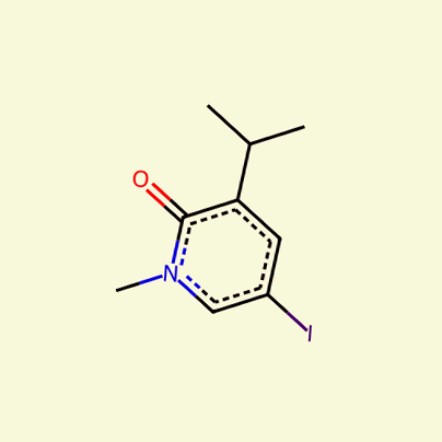 CC(C)c1cc(I)cn(C)c1=O